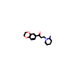 O=C(CCN1CCCCC1I)c1ccc2c(c1)OCCO2